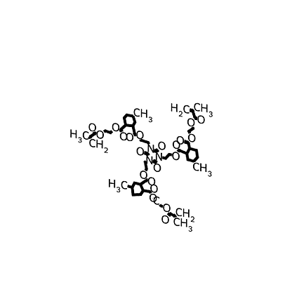 C=C(C)C(=O)OCCOC(=O)C1CCC(C)CC1C(=O)OCCn1c(=O)n(CCOC(=O)C2CC(C)CCC2C(=O)OCCOC(=O)C(=C)C)c(=O)n(CCOC(=O)C2CC(C)CCC2C(=O)OCCOC(=O)C(=C)C)c1=O